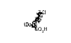 CC(C)(C)c1cc(C(=O)O)nn1Cc1cc(-c2ccc(Cl)s2)on1